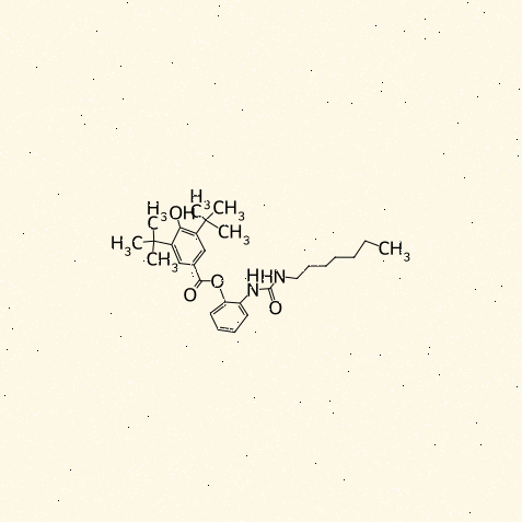 CCCCCCCNC(=O)Nc1ccccc1OC(=O)c1cc(C(C)(C)C)c(O)c(C(C)(C)C)c1